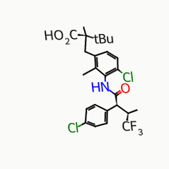 Cc1c(C[C@@](C)(C(=O)O)C(C)(C)C)ccc(Cl)c1NC(=O)[C@H](c1ccc(Cl)cc1)[C@@H](C)C(F)(F)F